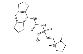 CN1CCC[C@]1(C)/C=C/S(=O)(=NC#N)NC(=O)Nc1c2c(cc3c1CCC3)CCC2